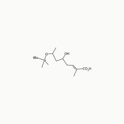 CC(=CCC(O)CC(C)O[Si](C)(C)C(C)(C)C)C(=O)O